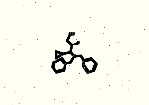 OC[C@H](F)C(C1CC1)N(Cc1ccccc1)Cc1ccccc1